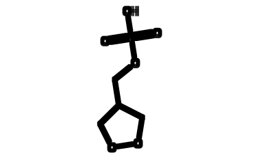 O=S(=O)(O)OCC1COOC1